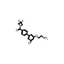 NCCOc1cc(Cl)cc(-c2ccc(C(=O)N3CC(F)(F)C3)cc2)c1